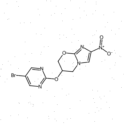 O=[N+]([O-])c1cn2c(n1)OCC(Oc1ncc(Br)cn1)C2